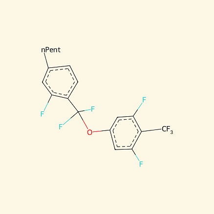 CCCCCc1ccc(C(F)(F)Oc2cc(F)c(C(F)(F)F)c(F)c2)c(F)c1